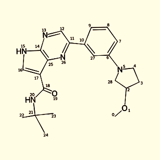 COC1CCN(c2cccc(-c3cnc4[nH]cc(C(=O)NC(C)(C)C)c4n3)c2)C1